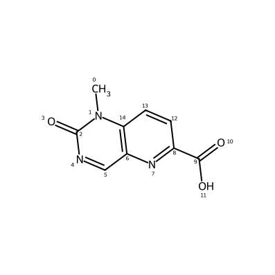 Cn1c(=O)ncc2nc(C(=O)O)ccc21